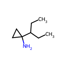 CCC(CC)C1(N)CC1